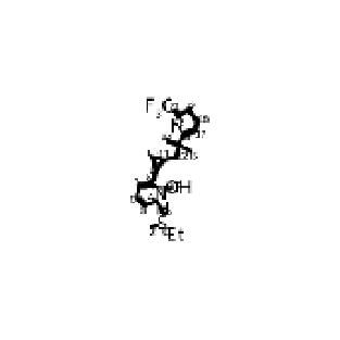 CC[SH](C)Cc1cccc(C2CC2CC(C)(C)c2cccc(C(F)(F)F)n2)[n+]1O